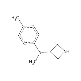 Cc1ccc(N(C)C2CNC2)cc1